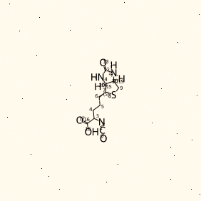 O=C=NC(CCC[C@@H]1SC[C@@H]2NC(=O)N[C@@H]21)C(=O)O